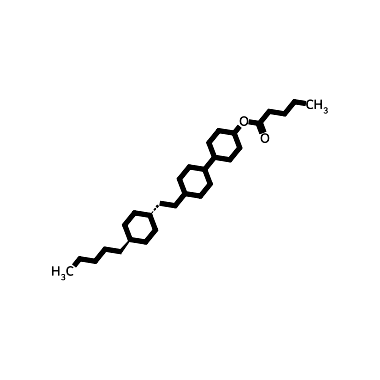 CCCCC[C@H]1CC[C@H](CCC2CCC(C3CCC(OC(=O)CCCC)CC3)CC2)CC1